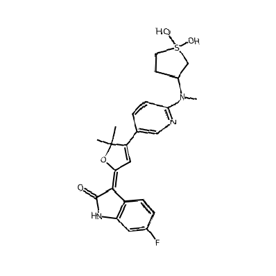 CN(c1ccc(C2=CC(=C3C(=O)Nc4cc(F)ccc43)OC2(C)C)cn1)C1CCS(O)(O)C1